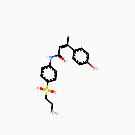 CCCCCCCCCCCCS(=O)(=O)c1ccc(NC(=O)C=C(C)c2ccc(O)cc2)cc1